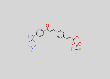 CN1CCC(Nc2ccc(C(=O)/C=C/c3ccc(/C=C/C(=O)OC(=O)C(F)(F)F)cc3)cc2)CC1